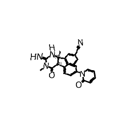 CN1C(=N)N[C@](C)(c2cccc(C#N)c2)[C@@H](c2ccc(-n3ccccc3=O)cc2)C1=O